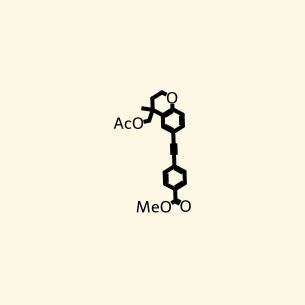 COC(=O)c1ccc(C#Cc2ccc3c(c2)C(C)(COC(C)=O)CCO3)cc1